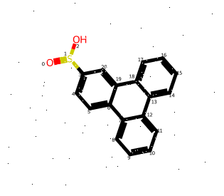 O=S(O)c1ccc2c3ccccc3c3ccccc3c2c1